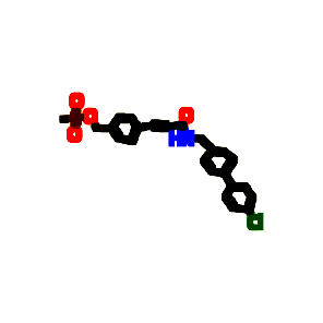 CS(=O)(=O)OCc1ccc(C#CC(=O)NCc2ccc(-c3ccc(Cl)cc3)cc2)cc1